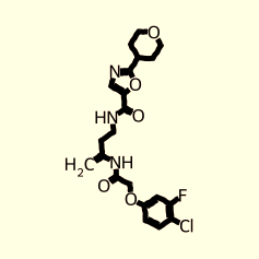 C=C(CCNC(=O)c1cnc(C2CCOCC2)o1)NC(=O)COc1ccc(Cl)c(F)c1